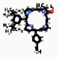 C#Cc1ccc(C2=C3C=CC(=N3)C(c3cc(C(C)(C)C)cc(C(C)(C)C)c3)=C3C=CC(=N3)C=C3N=C(C=C4C=CC2=N4)C(=O)C3(C)C)cc1